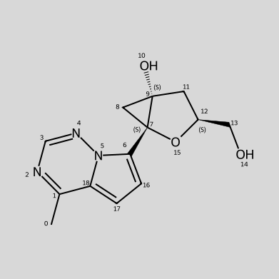 Cc1ncnn2c([C@@]34C[C@@]3(O)C[C@@H](CO)O4)ccc12